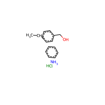 CC.Cl.N.OCc1ccccc1.c1ccccc1